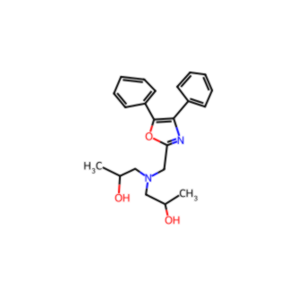 CC(O)CN(Cc1nc(-c2ccccc2)c(-c2ccccc2)o1)CC(C)O